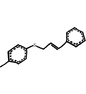 Cc1ccc(SCC=Cc2ccccc2)cc1